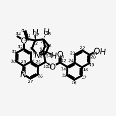 C=C[C@H]1CN2CC[C@H]1C[C@@H]2[C@@H](OC(=O)c1cccc2cc(O)ccc12)c1ccnc2ccc(OC)cc12